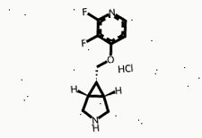 Cl.Fc1nccc(OC[C@@H]2[C@@H]3CNC[C@@H]32)c1F